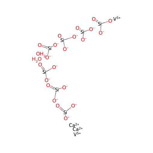 O.O.O=[Si]([O-])[O-].O=[Si]([O-])[O-].O=[Si]([O-])[O-].O=[Si]([O-])[O-].O=[Si]([O-])[O-].O=[Si]([O-])[O-].O=[Si]([O-])[O-].[Ca+2].[Ca+2].[V+5].[V+5]